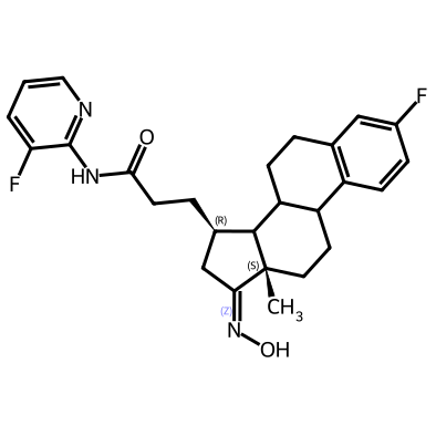 C[C@]12CCC3c4ccc(F)cc4CCC3C1[C@H](CCC(=O)Nc1ncccc1F)C/C2=N/O